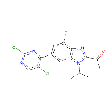 CC(=O)c1nc2c(F)cc(-c3nc(Cl)ncc3Cl)cc2n1C(C)C